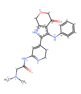 CN(C)CC(=O)NC1=NCCC(c2[nH]c3c(c2NC2=C=C=CC=C2)C(=O)COC3)=C1